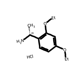 CCOc1ccc([C@@H](C)N)c(OCC)c1.Cl